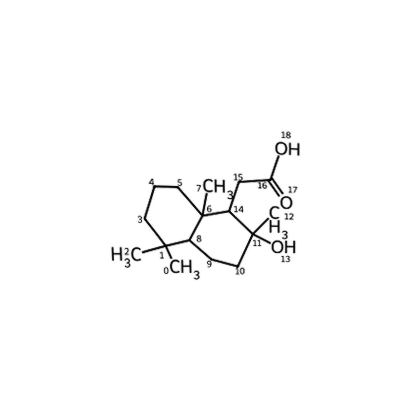 CC1(C)CCCC2(C)C1CCC(C)(O)C2CC(=O)O